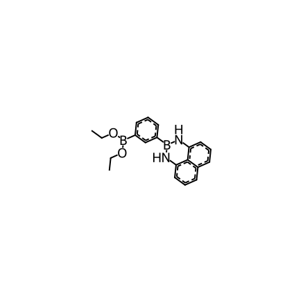 CCOB(OCC)c1cccc(B2Nc3cccc4cccc(c34)N2)c1